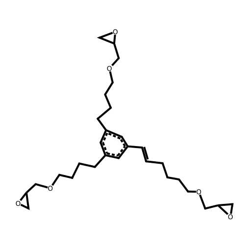 C(=Cc1cc(CCCCOCC2CO2)cc(CCCCOCC2CO2)c1)CCCCOCC1CO1